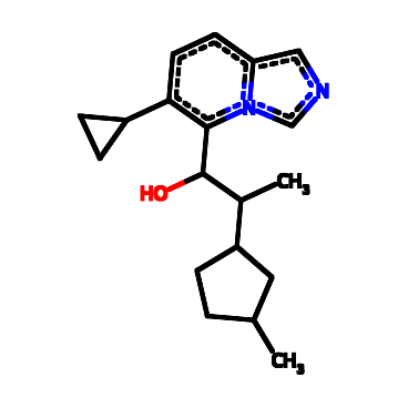 CC1CCC(C(C)C(O)c2c(C3CC3)ccc3cncn23)C1